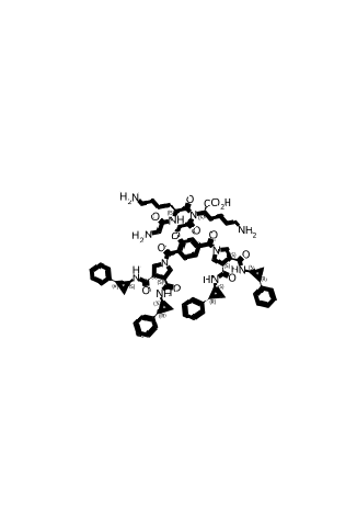 NCCCC[C@H](NC(=O)CN)C(=O)N(C(=O)COc1cc(C(=O)N2C[C@@H](C(=O)N[C@H]3C[C@@H]3c3ccccc3)[C@H](C(=O)N[C@H]3C[C@@H]3c3ccccc3)C2)ccc1C(=O)N1C[C@@H](C(=O)N[C@H]2C[C@@H]2c2ccccc2)[C@H](C(=O)N[C@H]2C[C@@H]2c2ccccc2)C1)[C@@H](CCCCN)C(=O)O